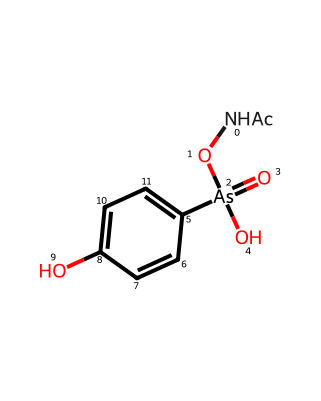 CC(=O)NO[As](=O)(O)c1ccc(O)cc1